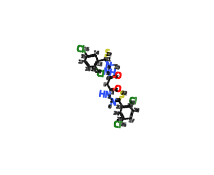 CN(NC(=O)CC(=O)NN(C)C(=S)c1cc(Cl)ccc1Cl)C(=S)c1cc(Cl)ccc1Cl